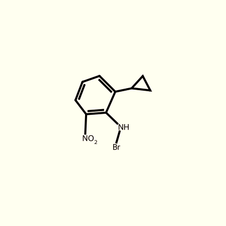 O=[N+]([O-])c1cccc(C2CC2)c1NBr